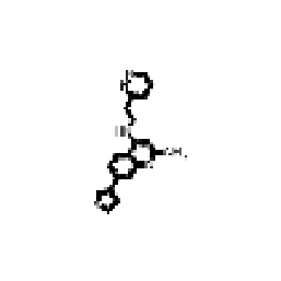 Nc1cc(NCCc2cccnn2)c2ccc(-c3ccsc3)cc2n1